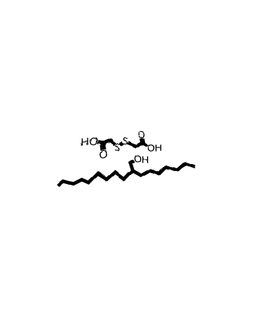 CCCCCCCCCC(CO)CCCCCCC.O=C(O)CSSCC(=O)O